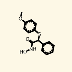 COc1ccc(SC(C(=O)NO)c2ccccc2)cc1